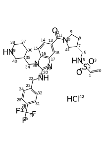 C=CS(=O)(=O)NC[C@H]1CCN(C(=O)c2ccc3c(c2)nc(NCc2ccc(C(F)(F)F)cc2)n3CC2CCCNC2)C1.Cl